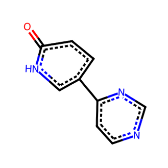 O=c1ccc(-c2ccncn2)c[nH]1